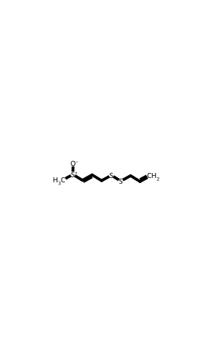 C=CCSSCC=C[S+](C)[O-]